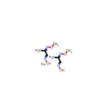 CON=C(C)C=NO.CON=C(C)C=NO.[Co]